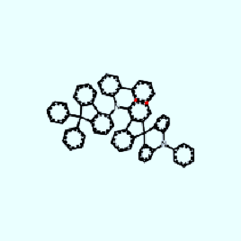 c1ccc(-c2ccccc2N(c2cccc3c2-c2ccccc2C3(c2ccccc2)c2ccccc2)c2cccc3c2-c2ccccc2C32c3ccccc3N(c3ccccc3)c3ccccc32)cc1